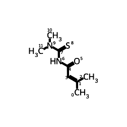 CC(C)=CC(=O)NC(=S)N(C)C